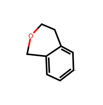 [c]1ccc2c(c1)CCOC2